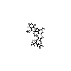 CCc1ccc(Nc2c(N[C@@H](c3ccc(C)o3)C(C)(C)C)c(=O)c2=O)c2c1CN(c1ccccc1CO)C2=O